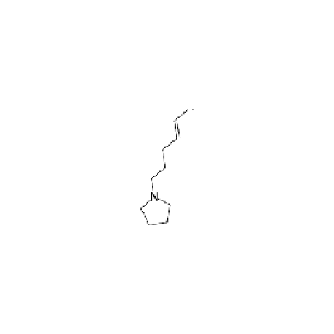 [CH2]C=CCCCN1CCCC1